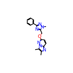 Cc1nc2ccc(OCc3nc(-c4ccccc4)nn3C)nn2c1C